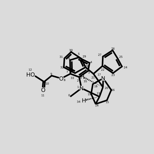 CN(c1ccccc1OCC(=O)O)[C@@H]1C2CCN(CC2)[C@@H]1C(c1ccccc1)c1ccccc1